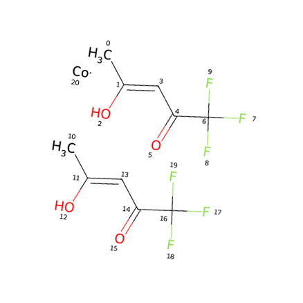 C/C(O)=C/C(=O)C(F)(F)F.C/C(O)=C/C(=O)C(F)(F)F.[Co]